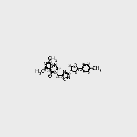 Cc1ccc([C@H]2C[C@H](c3noc(Cn4cnn5c(C)nc(C)c5c4=O)n3)CO2)cc1